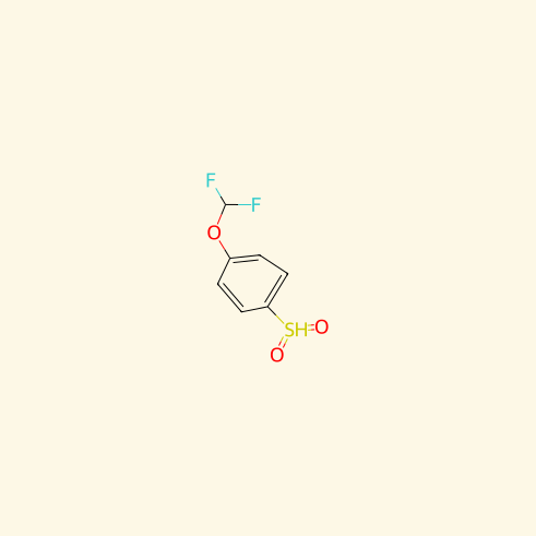 O=[SH](=O)c1ccc(OC(F)F)cc1